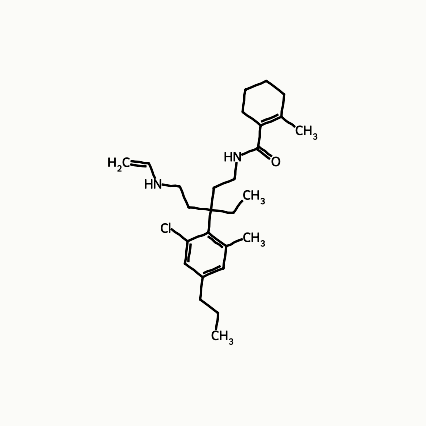 C=CNCCC(CC)(CCNC(=O)C1=C(C)CCCC1)c1c(C)cc(CCC)cc1Cl